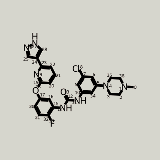 CN1CCN(c2cc(Cl)cc(NC(=O)Nc3cc(Oc4cccc(-c5cn[nH]c5)n4)ccc3F)c2)CC1